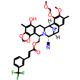 COCOc1c(OC)c(C)cc2c1[C@@H]1C3Cc4c(O)c(C)c5c(c4[C@H](COC(=O)/C=C/c4cccc(C(F)(F)F)c4)N3[C@@H](C#N)[C@H](C2)N1C)OCO5